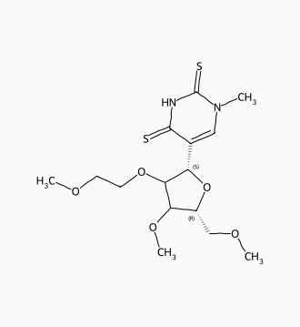 COCCOC1C(OC)[C@@H](COC)O[C@H]1c1cn(C)c(=S)[nH]c1=S